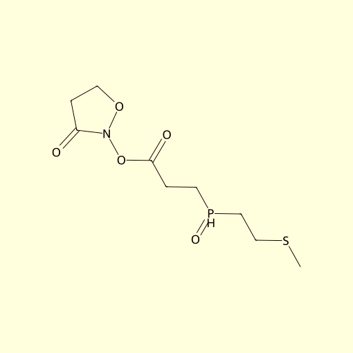 CSCC[PH](=O)CCC(=O)ON1OCCC1=O